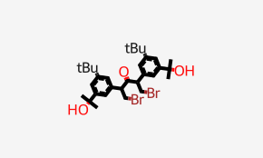 CC(C)(C)c1cc(C(CBr)C(=O)C(CBr)c2cc(C(C)(C)C)cc(C(C)(C)O)c2)cc(C(C)(C)O)c1